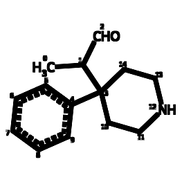 CC(C=O)C1(c2ccccc2)CCNCC1